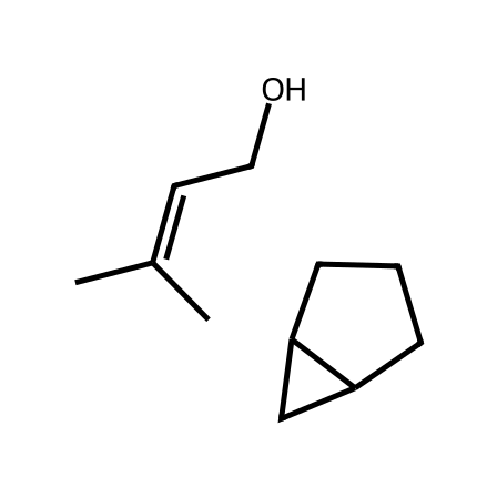 C1CC2CC2C1.CC(C)=CCO